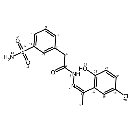 C/C(=N/NC(=O)Cc1cccc(S(N)(=O)=O)c1)c1cc(Cl)ccc1O